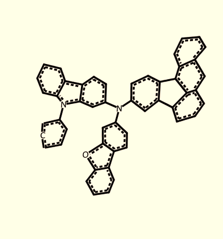 c1ccc(-n2c3ccccc3c3ccc(N(c4ccc5c(c4)-c4cccc6cc7ccccc7c-5c46)c4ccc5c(c4)oc4ccccc45)cc32)cc1